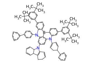 CC(C)(C)c1cc(-c2ccc3c(c2)N(C2=CCC(c4ccccc4)C=C2)c2cc(N4C5=C(CCC=C5)C5C=CC=CC54)cc4c2B3c2ccc(-c3cc(C(C)(C)C)cc(C(C)(C)C)c3)cc2N4c2ccc(-c3ccccc3)cc2)cc(C(C)(C)C)c1